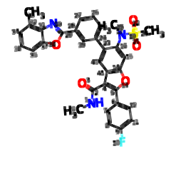 CNC(=O)c1c(-c2ccc(F)cc2)oc2cc(N(C)S(C)(=O)=O)c(-c3cccc(-c4nc5c(C)cccc5o4)c3)cc12